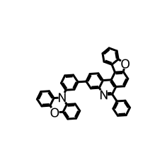 c1ccc(-c2nc3cc(-c4cccc(N5c6ccccc6Oc6ccccc65)c4)ccc3c3c2ccc2oc4ccccc4c23)cc1